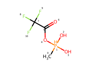 C[PH](O)(O)OC(=O)C(F)(F)F